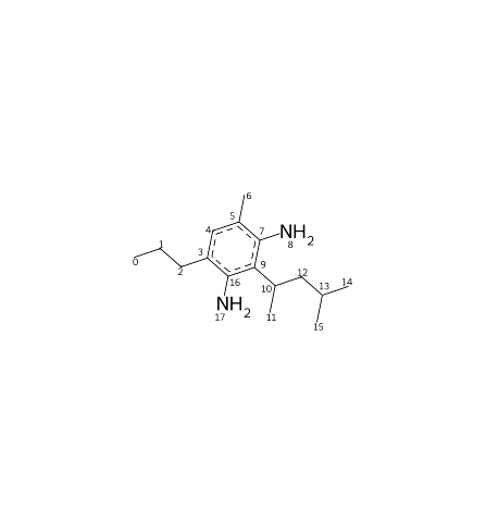 CCCc1cc(C)c(N)c(C(C)CC(C)C)c1N